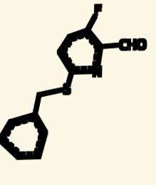 O=Cc1nc(SCc2ccccc2)ccc1F